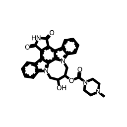 CN1CCN(C(=O)OC2Cn3c4ccccc4c4c5c(c6c7ccccc7n(c6c43)CC2O)C(=O)NC5=O)CC1